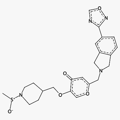 C[S+]([O-])N1CCC(COc2coc(CN3Cc4ccc(-c5ncon5)cc4C3)cc2=O)CC1